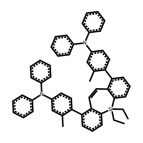 CC[Si]1(CC)c2cccc(-c3ccc(N(c4ccccc4)c4ccccc4)cc3C)c2C=Cc2c(-c3ccc(N(c4ccccc4)c4ccccc4)cc3C)cccc21